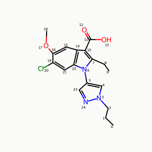 CCCn1cc(-n2c(CC)c(C(=O)O)c3cc(OC)c(Cl)cc32)cn1